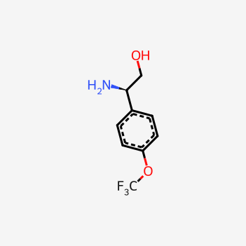 N[C@@H](CO)c1ccc(OC(F)(F)F)cc1